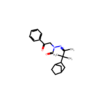 C/C(=N/N(C=O)CC(=O)c1ccccc1)C(C)(C)C1CC2CCC1C2